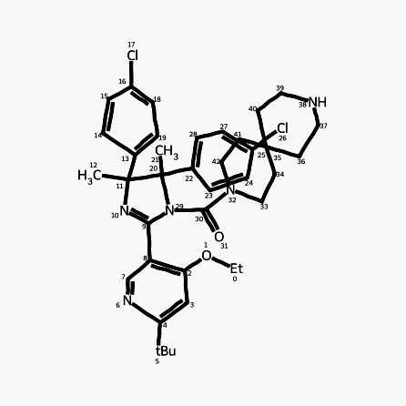 CCOc1cc(C(C)(C)C)ncc1C1=NC(C)(c2ccc(Cl)cc2)C(C)(c2ccc(Cl)cc2)N1C(=O)N1CCC2(CCNCC2)CC1